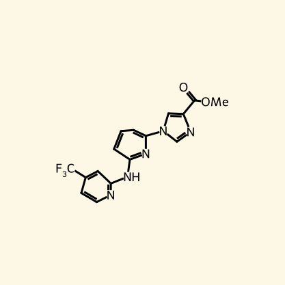 COC(=O)c1cn(-c2cccc(Nc3cc(C(F)(F)F)ccn3)n2)cn1